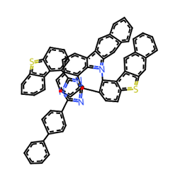 c1ccc(-c2ccc(-c3nc(-c4ccc5sc6cc7ccccc7cc6c5c4-n4c5cc6ccccc6cc5c5ccc6ccccc6c54)nc(-c4cccc5sc6ccccc6c45)n3)cc2)cc1